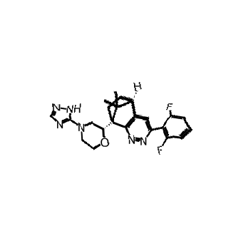 CC1(C)[C@H]2CCC1([C@H]1CN(c3ncn[nH]3)CCO1)c1nnc(-c3c(F)cccc3F)cc12